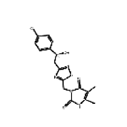 Cc1[nH]c(=O)n(Cc2nc(C[C@H](O)c3ccc(Cl)cc3)no2)c(=O)c1C